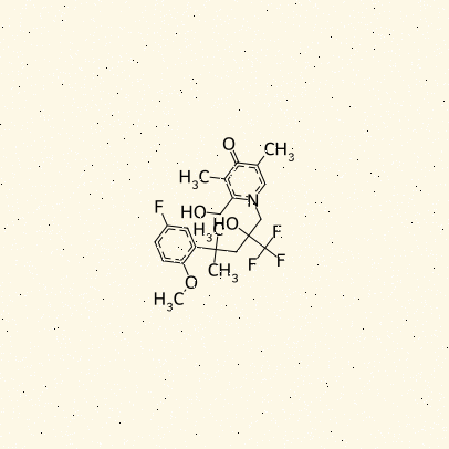 COc1ccc(F)cc1C(C)(C)CC(O)(Cn1cc(C)c(=O)c(C)c1CO)C(F)(F)F